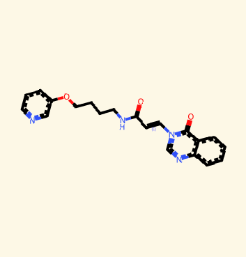 O=C(/C=C/n1cnc2ccccc2c1=O)NCCCCOc1cccnc1